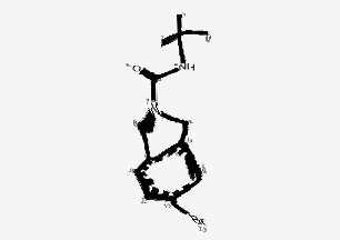 CC(C)(C)NC(=O)N1Cc2ccc(Br)cc2C1